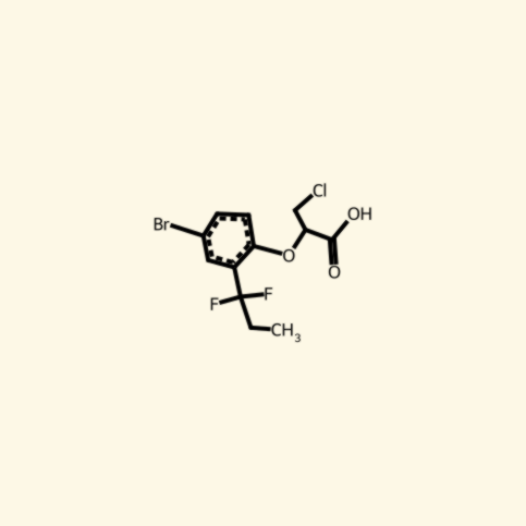 CCC(F)(F)c1cc(Br)ccc1OC(CCl)C(=O)O